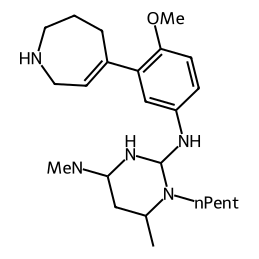 CCCCCN1C(C)CC(NC)NC1Nc1ccc(OC)c(C2=CCNCCC2)c1